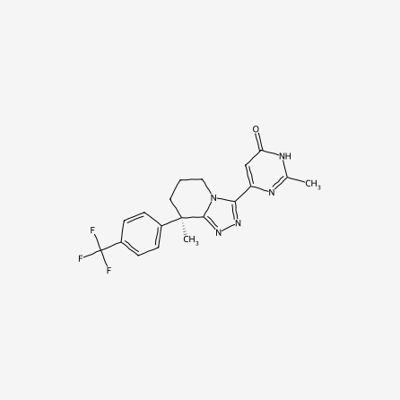 Cc1nc(-c2nnc3n2CCC[C@]3(C)c2ccc(C(F)(F)F)cc2)cc(=O)[nH]1